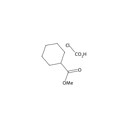 COC(=O)C1CCCCC1.O=C(O)Cl